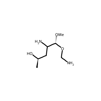 CO[C@H](OCN)C(N)C[C@@H](C)O